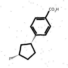 O=C(O)c1ccc([C@@H]2CC[C@H](F)C2)cc1